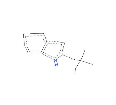 CC(C)(C)c1cc2ccccc2[nH]1